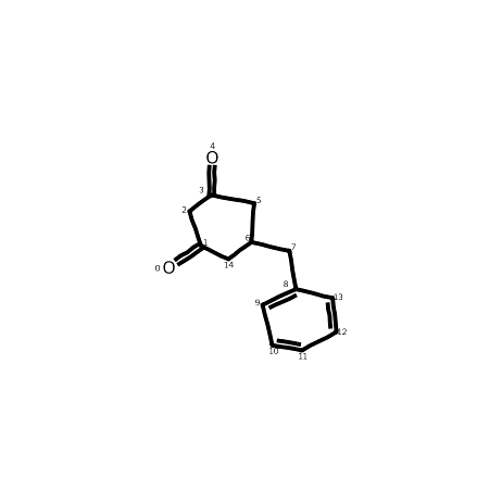 O=C1CC(=O)CC(Cc2ccccc2)C1